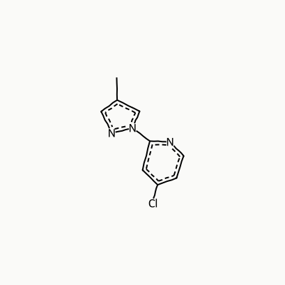 Cc1cnn(-c2cc(Cl)ccn2)c1